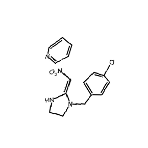 O=[N+]([O-])C=C1NCCN1Cc1ccc(Cl)cc1.c1ccncc1